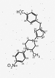 Cc1ccc(Cc2nsc(N3CCN(c4ccc([N+](=O)[O-])cc4)C(C)C3)n2)cc1